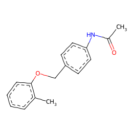 CC(=O)Nc1ccc(COc2ccccc2C)cc1